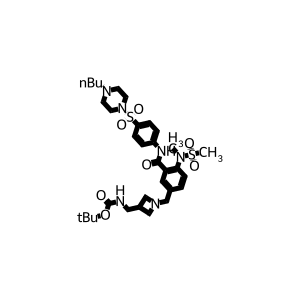 CCCCN1CCN(S(=O)(=O)c2ccc(NC(=O)c3cc(CN4CC(CNC(=O)OC(C)(C)C)C4)ccc3N(C)S(C)(=O)=O)cc2)CC1